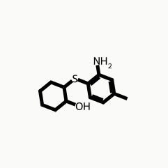 Cc1ccc(SC2CCCCC2O)c(N)c1